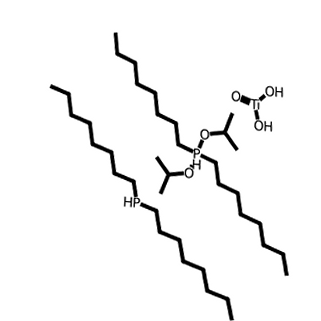 CCCCCCCCPCCCCCCCC.CCCCCCCC[PH](CCCCCCCC)(OC(C)C)OC(C)C.[O]=[Ti]([OH])[OH]